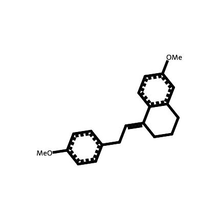 COc1ccc(C/C=C2\CCCc3cc(OC)ccc32)cc1